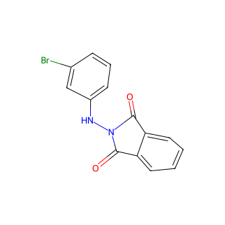 O=C1c2ccccc2C(=O)N1Nc1cccc(Br)c1